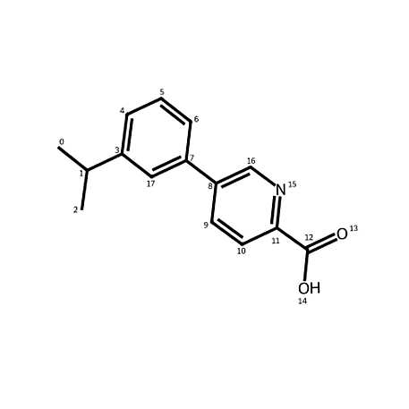 CC(C)c1cccc(-c2ccc(C(=O)O)nc2)c1